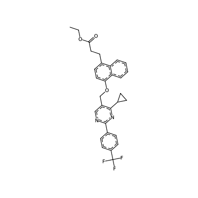 CCOC(=O)CCc1ccc(OCc2cnc(-c3ccc(C(F)(F)F)cc3)nc2C2CC2)c2ccccc12